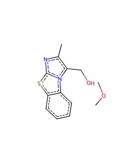 COC.Cc1nc2sc3ccccc3n2c1CO